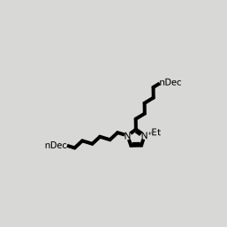 CCCCCCCCCCCCCCCCn1cc[n+](CC)c1CCCCCCCCCCCCCCC